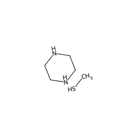 C1CNCCN1.CS